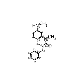 CNC1=CC2=C(CC1)CN(Cc1ccccc1)C(=O)N2C